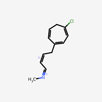 C/N=C\C=C/CC1=CC=C(Cl)CC=C1